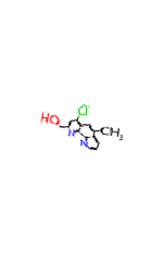 Cc1cc2c(Cl)cc(CO)nc2c2ncccc12